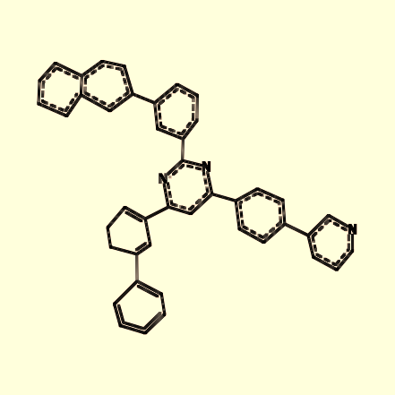 C1=C=CC(C2=CC(c3cc(-c4ccc(-c5cccnc5)cc4)nc(-c4cccc(-c5ccc6ccccc6c5)c4)n3)=CCC2)=CC=1